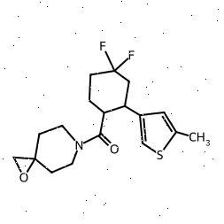 Cc1cc(C2CC(F)(F)CCC2C(=O)N2CCC3(CC2)CO3)cs1